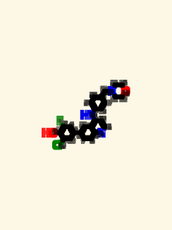 Oc1c(F)cc(-c2ccc3nccc(Nc4ccc(CN5CCOCC5)cc4)c3c2)cc1Cl